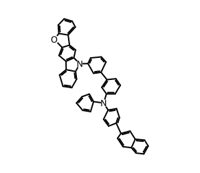 c1ccc(N(c2ccc(-c3ccc4ccccc4c3)cc2)c2cccc(-c3cccc(-n4c5ccccc5c5cc6oc7ccccc7c6cc54)c3)c2)cc1